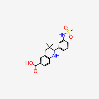 CC1(C)Cc2cc(C(=O)O)ccc2NC1c1cccc(NS(C)(=O)=O)c1